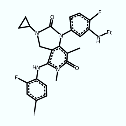 CCNc1cc(N2C(=O)N(C3CC3)Cc3c2c(C)c(=O)n(C)c3Nc2ccc(I)cc2F)ccc1F